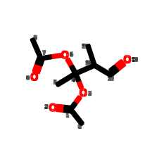 CC(=O)OC(C)(OC(C)=O)C(C)C=O